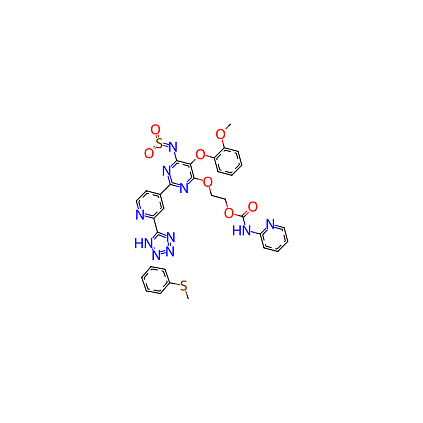 COc1ccccc1Oc1c(N=S(=O)=O)nc(-c2ccnc(-c3nnn[nH]3)c2)nc1OCCOC(=O)Nc1ccccn1.CSc1ccccc1